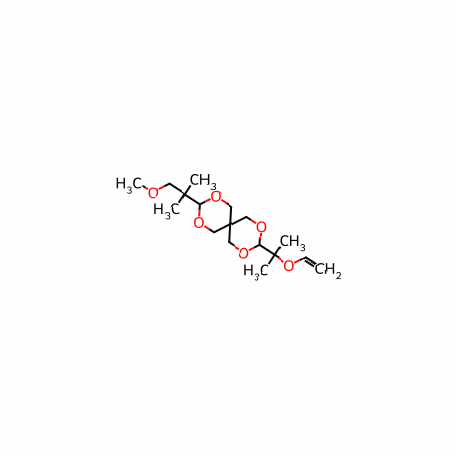 C=COC(C)(C)C1OCC2(COC(C(C)(C)COC)OC2)CO1